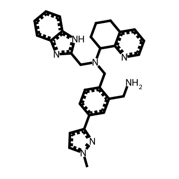 Cn1ccc(-c2ccc(CN(Cc3nc4ccccc4[nH]3)C3CCCc4cccnc43)c(CN)c2)n1